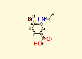 CCNc1cc(C(=O)O)ccc1Br